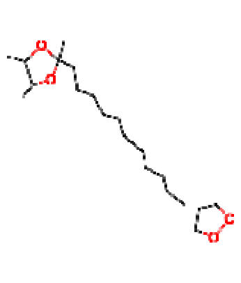 C1COOC1.CCCCCCCCCCCC1(C)OC(C)C(C)O1